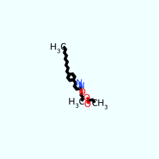 CCCCCCCCCc1ccc(-c2ccc(OCC(C)OC(=O)CC)nn2)cc1